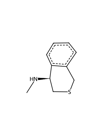 CN[C@@H]1CSCc2ccccc21